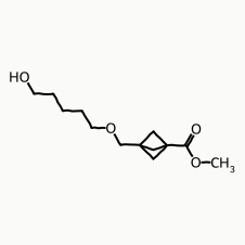 COC(=O)C12CC(COCCCCCO)(C1)C2